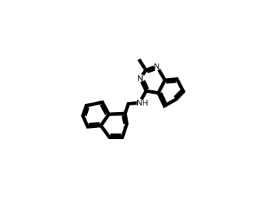 Cc1nc(NCc2cccc3ccccc23)c2ccccc2n1